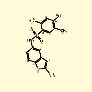 Cc1nc2cc(NS(=O)(=O)c3cc(C)c(Cl)cc3C)ccc2o1